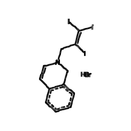 Br.IC(I)=C(I)CN1C=Cc2ccccc2C1